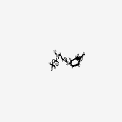 Cc1ccc(SOCCN(C)C(=O)OC(C)(C)C)cc1